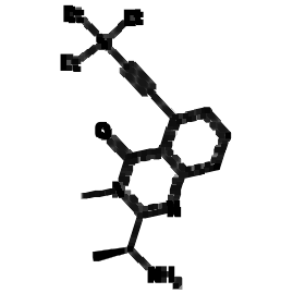 CC[Si](C#Cc1cccc2nc([C@H](C)N)n(C)c(=O)c12)(CC)CC